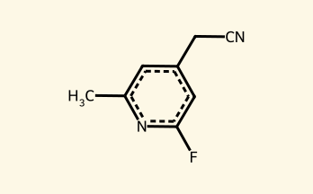 Cc1cc(CC#N)cc(F)n1